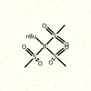 CCCC[B-](S(C)(=O)=O)(S(C)(=O)=O)S(C)(=O)=O